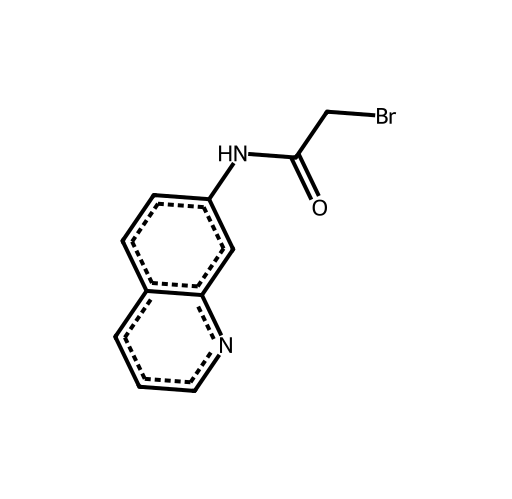 O=C(CBr)Nc1ccc2cccnc2c1